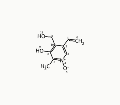 C=Cc1c[n+]([O-])c(C)c(O)c1CO